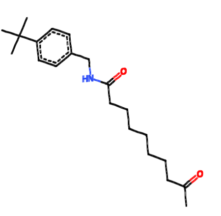 CC(=O)CCCCCCCC(=O)NCc1ccc(C(C)(C)C)cc1